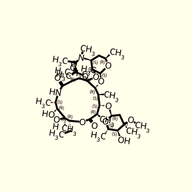 CC[C@H]1OC(=O)[C@H](C)[C@@H](O[C@H]2C[C@@](C)(OC)[C@@H](O)[C@H](C)O2)[C@H](C)[C@@H](O[C@@H]2O[C@H](C)C[C@H](N(C)C(C)=O)[C@H]2OC(C)=O)[C@](C)(OC)C[C@@H](C)C(=O)N[C@@H](C)[C@@H](O)[C@]1(C)O